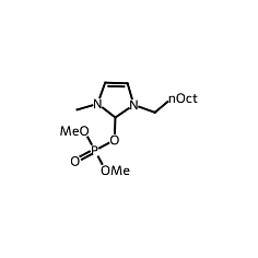 CCCCCCCCCN1C=CN(C)C1OP(=O)(OC)OC